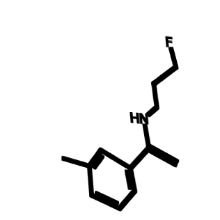 C=C(NCCCF)c1cccc(C)c1